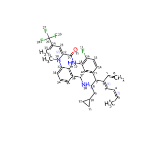 C=C/C(=C\C=C/C)C(CCC1CC1)c1ccc(F)c(NC(=O)/C(=C/C(=C)C(F)(F)F)N(C)c2cccc(CN)c2)c1